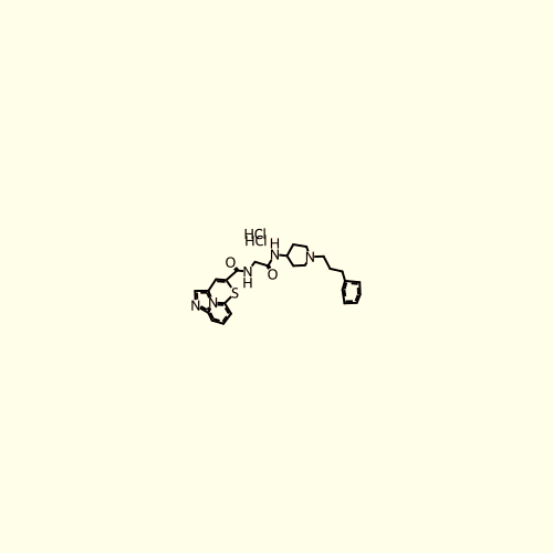 Cl.Cl.O=C(CNC(=O)C1=Cc2cnc3cccc(n23)S1)NC1CCN(CCCc2ccccc2)CC1